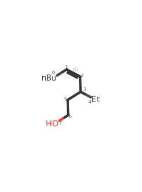 CCCC/C=C\C(CC)CCO